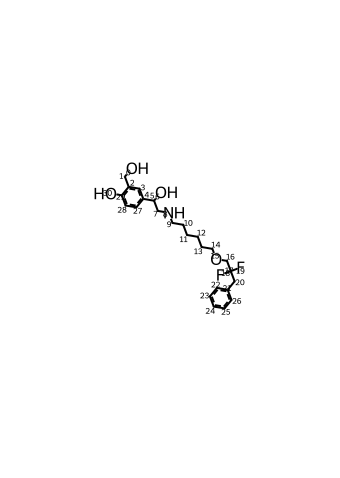 OCc1cc(C(O)CNCCCCCCOCC(F)(F)Cc2ccccc2)ccc1O